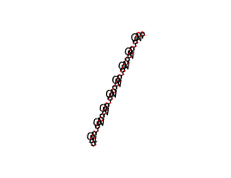 Cc1cccc(C)c1N1COc2ccc(Cc3ccc4c(c3)CN(Cc3cccc(CN5COc6ccc(Cc7ccc8c(c7)CN(Cc7cccc(CN9COc%10ccc(Cc%11ccc%12c(c%11)CN(Cc%11cccc(CN%13COc%14ccc(Cc%15ccc%16c(c%15)CN(c%15c(C)cccc%15C)CO%16)cc%14C%13)c%11)CO%12)cc%10C9)c7)CO8)cc6C5)c3)CO4)cc2C1